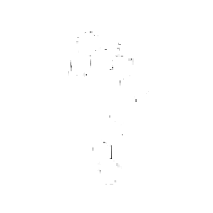 O=S(=O)(NC1CCN(CC(F)Cc2coc3ccccc23)CC1)c1cccc2cnccc12